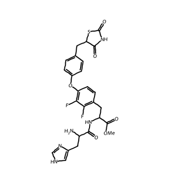 COC(=O)C(Cc1ccc(Oc2ccc(CC3SC(=O)NC3=O)cc2)c(F)c1F)NC(=O)C(N)Cc1c[nH]cn1